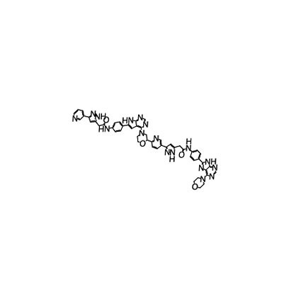 O=C(Cc1cc(-c2cccnc2)n[nH]1)Nc1ccc(-c2cc3c(N4CCOC(c5ccc(-c6cc(CC(=O)Nc7ccc(-c8nc9c(N%10CCOCC%10)ncnc9[nH]8)cc7)[nH]n6)cn5)C4)ncnc3[nH]2)cc1